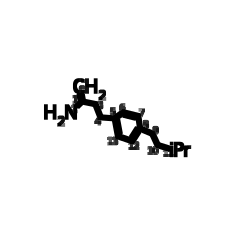 C=C(N)CCc1ccc(CCC(C)C)cc1